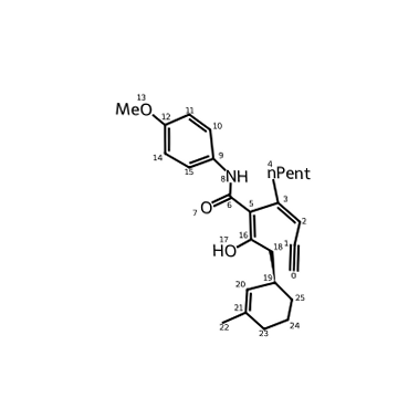 C#C/C=C(CCCCC)\C(C(=O)Nc1ccc(OC)cc1)=C(\O)C[C@@H]1C=C(C)CCC1